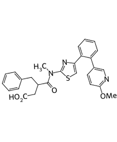 COc1ccc(-c2ccccc2-c2csc(N(C)C(=O)C(CC(=O)O)Cc3ccccc3)n2)cn1